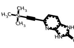 C[Si](C)(C)C#Cc1ccc2[nH]c(=O)[nH]c2n1